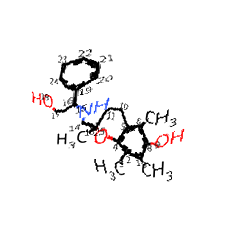 Cc1c(C)c2c(c(C)c1O)CCC(C)(CNC(CO)c1ccccc1)O2